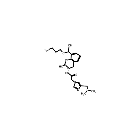 CCCCOC(O)c1cccc2c1OB(O)[C@@H](NC(=O)Cn1cc(CN(C)C)nn1)C2